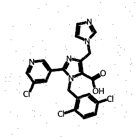 O=C(O)c1c(Cn2ccnc2)nc(-c2cncc(Cl)c2)n1Cc1cc(Cl)ccc1Cl